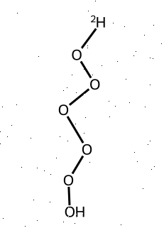 [2H]OOOOOO